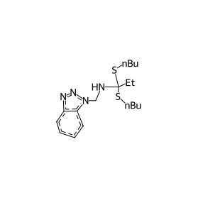 CCCCSC(CC)(NCn1nnc2ccccc21)SCCCC